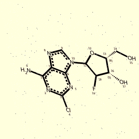 Nc1nc(Cl)nc2c1ncn2C1O[C@H](CO)[C@H](O)C1F